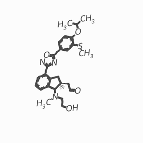 CSc1cc(-c2nc(-c3cccc4c3C[C@@H](CC=O)C4N(C)CCO)no2)ccc1OC(C)C